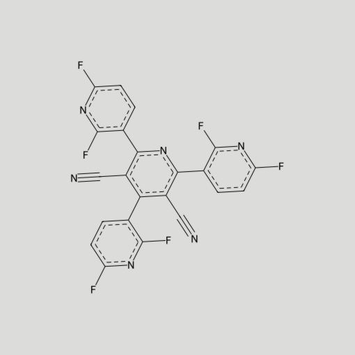 N#Cc1c(-c2ccc(F)nc2F)nc(-c2ccc(F)nc2F)c(C#N)c1-c1ccc(F)nc1F